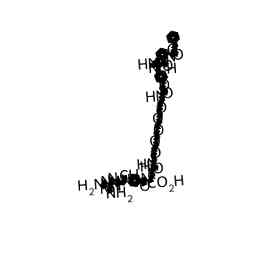 CN(Cc1cnc2nc(N)nc(N)c2n1)c1ccc(C(=O)NC(CCC(=O)NCCOCCOCCOCCOCCOCCNC(=O)COc2ccc(-c3n[nH]c4c3C(=O)c3c(NC(=O)OCc5ccccc5)cccc3-4)cc2)C(=O)O)cc1